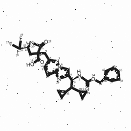 O=C(N[C@H](c1cn2nc(CC3(C(=O)O)C[C@@H](C(F)(F)F)NC3=O)ccc2n1)C(C1CC1)C1CC1)OCc1ccccc1